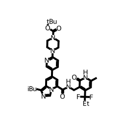 CCC(C)c1ncn2c(C(=O)NCc3c(C(F)(F)CC)cc(C)[nH]c3=O)cc(-c3ccc(N4CCN(C(=O)OC(C)(C)C)CC4)nc3)cc12